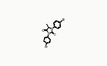 CC1C(=O)N(c2ccc(Br)cc2)C(=O)N1c1ccc(Br)cc1